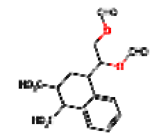 O=COCC(OC=O)C1CC(C(=O)O)C(C(=O)O)c2ccccc21